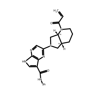 C=CC(=O)N1CCC[C@@H]2CN(c3cnc4[nH]cc(C(=O)NC(C)C)c4n3)C[C@@H]21